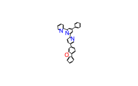 c1ccc(-c2cc(-c3ccccn3)nc(-c3ccc(-c4ccc5c(c4)oc4ccccc45)cn3)c2)cc1